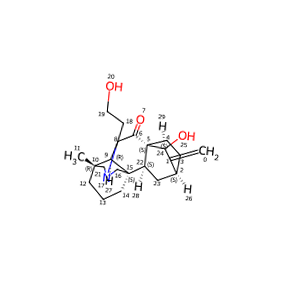 C=C1[C@H]2CC[C@@]3(C(=O)C[C@@H]4[C@@]5(C)CCC[C@@]4(CN(CCO)C5)[C@@H]3C2)[C@H]1O